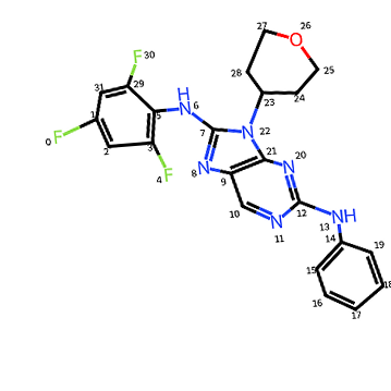 Fc1cc(F)c(Nc2nc3cnc(Nc4ccccc4)nc3n2C2CCOCC2)c(F)c1